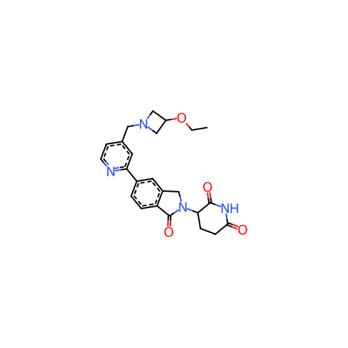 CCOC1CN(Cc2ccnc(-c3ccc4c(c3)CN(C3CCC(=O)NC3=O)C4=O)c2)C1